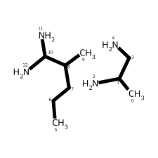 CC(N)CN.CCCC(C)C(N)N